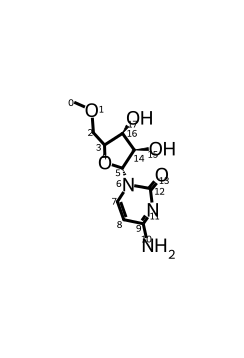 COCC1O[C@@H](n2ccc(N)nc2=O)[C@H](O)[C@@H]1O